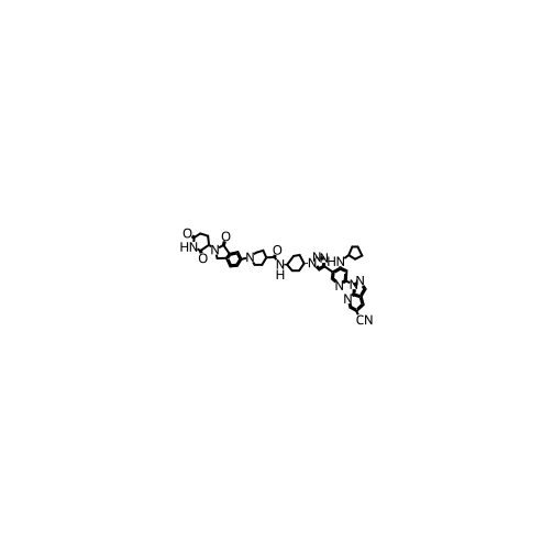 N#Cc1cnc2c(cnn2-c2cc(NC3CCCC3)c(-c3cn([C@H]4CC[C@H](NC(=O)C5CCN(c6ccc7c(c6)C(=O)N(C6CCC(=O)NC6=O)C7)CC5)CC4)nn3)cn2)c1